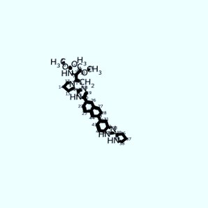 C=C([C@@H](NC(=O)OC)[C@@H](C)OC)N1CCC[C@H]1c1ncc(-c2ccc3c(c2)=CCC(C2=CC4N=C([C@@H]5CCCN5)NC4C=C2)C=3)[nH]1